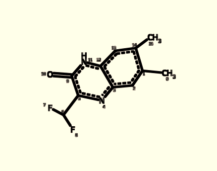 Cc1cc2nc(C(F)F)c(=O)[nH]c2cc1C